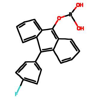 OB(O)Oc1c2ccccc2c(-c2ccc(F)cc2)c2ccccc12